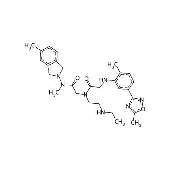 CCNCCN(CC(=O)N(C)N1Cc2ccc(C)cc2C1)C(=O)CNc1cc(-c2noc(C)n2)ccc1C